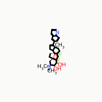 CN(C)[C@H]1C[C@@]23CC[C@]4(O2)C2CC=C(c5ccc6ncccc6c5)[C@@]2(C)CCC4(F)CC3(F)[C@@H](O)[C@@H]1O